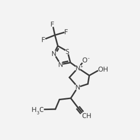 C#CC(CCC)N1CC(O)[N+]([O-])(c2nnc(C(F)(F)F)s2)C1